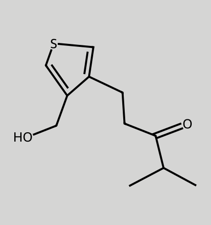 CC(C)C(=O)CCc1cscc1CO